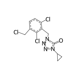 O=c1n(Cc2c(Cl)ccc(CCl)c2Cl)nnn1C1CC1